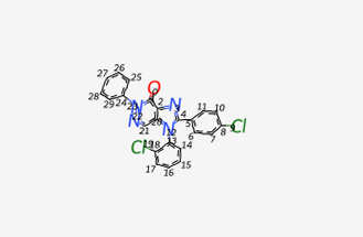 O=c1c2nc(-c3ccc(Cl)cc3)n(-c3ccccc3Cl)c2cnn1-c1ccccc1